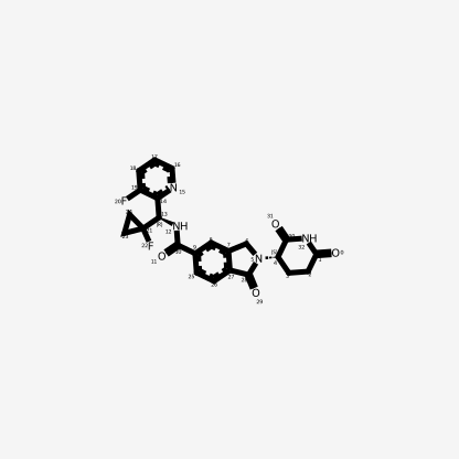 O=C1CC[C@H](N2Cc3cc(C(=O)N[C@H](c4ncccc4F)C4(F)CC4)ccc3C2=O)C(=O)N1